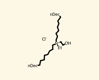 CCCCCCCCCCCCCCCCCC[N+](CC)(CCO)CCCCCCCCCCCCCCCCCC.[Cl-]